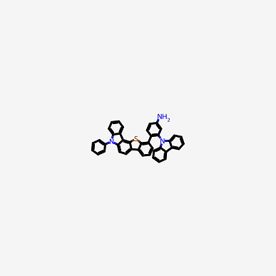 Nc1ccc(-c2cccc3c2sc2c3ccc3c2c2ccccc2n3-c2ccccc2)c(-n2c3ccccc3c3ccccc32)c1